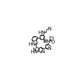 CCC(=O)Nc1cncc(-c2cc3c(-c4cc5c(-c6cc(F)cc(NCCN(C)C)c6)cccc5[nH]4)n[nH]c3cn2)c1